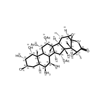 CC(=O)O[C@H]1[C@@H]2[C@H]([C@H](C)[C@H]3O[C@]34OC(=O)[C@@](C)(O)[C@]24C)[C@]2(C)[C@@H]1C1C([C@H](OC(C)=O)[C@@H]2OC(C)=O)[C@]2(C)[C@H](C[C@@H](Cl)[C@H](O)[C@@H]2O)[C@H](N)[C@@H]1O